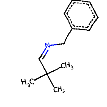 CC(C)(C)/C=N\Cc1ccccc1